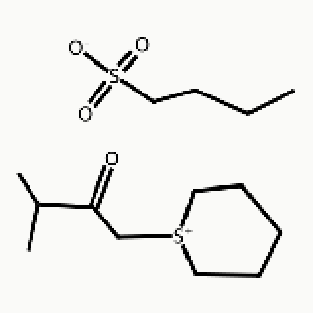 CC(C)C(=O)C[S+]1CCCCC1.CCCCS(=O)(=O)[O-]